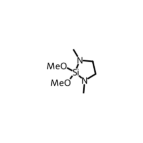 CO[Si]1(OC)N(C)CCN1C